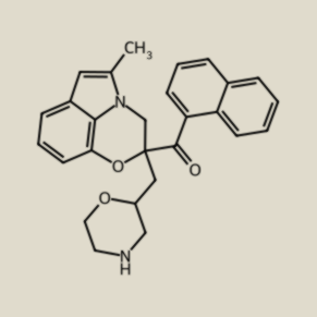 Cc1cc2cccc3c2n1CC(CC1CNCCO1)(C(=O)c1cccc2ccccc12)O3